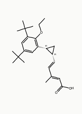 CCOc1c([C@@H]2C[C@@H]2C=CC(C)=CC(=O)O)cc(C(C)(C)C)cc1C(C)(C)C